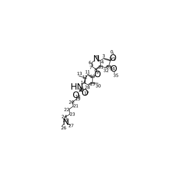 COc1cc2nccc(Oc3cc(C)c(NC(=O)OCCCCCCN(C)C)cc3C)c2cc1OC